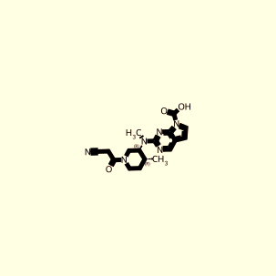 C[C@@H]1CCN(C(=O)CC#N)C[C@@H]1N(C)c1ncc2ccn(C(=O)O)c2n1